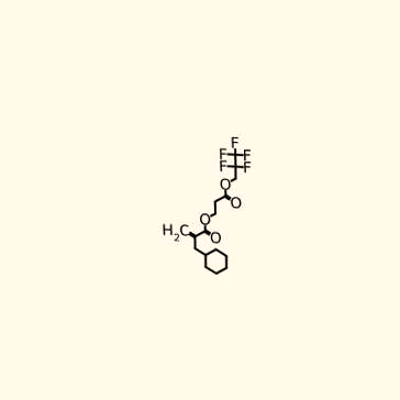 C=C(CC1CCCCC1)C(=O)OCCC(=O)OCC(F)(F)C(F)(F)F